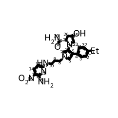 CCc1ccc(-c2cn(CCCNc3ccc([N+](=O)[O-])c(N)n3)cc2N2CC(O)C[C@H]2C(N)=O)cc1